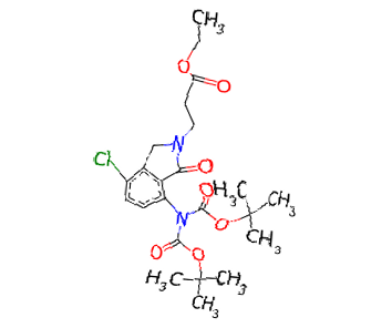 CCOC(=O)CCN1Cc2c(Cl)ccc(N(C(=O)OC(C)(C)C)C(=O)OC(C)(C)C)c2C1=O